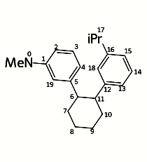 CNc1cccc(C2CCCCC2c2cccc(C(C)C)c2)c1